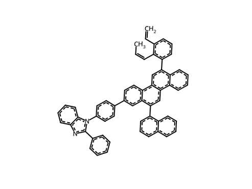 C=Cc1cccc(-c2cc3c4ccc(-c5ccc(-n6c(-c7ccccc7)nc7ccccc76)cc5)cc4c(-c4cccc5ccccc45)cc3c3ccccc23)c1/C=C\C